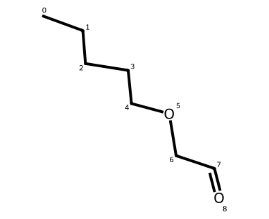 CCCCCOCC=O